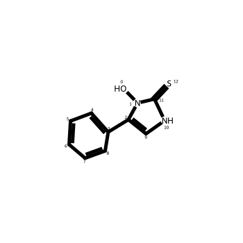 On1c(-c2ccccc2)c[nH]c1=S